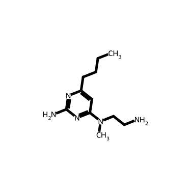 CCCCc1cc(N(C)CCN)nc(N)n1